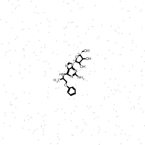 CC(COc1ccccc1)Nc1nc(N)nc2c1ncn2[C@@H]1O[C@H](CO)C(O)C1O